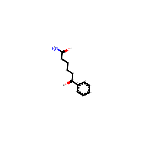 NC(=O)CCCCC(=O)c1ccccc1